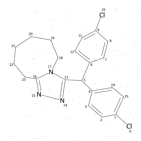 Clc1ccc(C(c2ccc(Cl)cc2)c2nnc3n2CCCCCC3)cc1